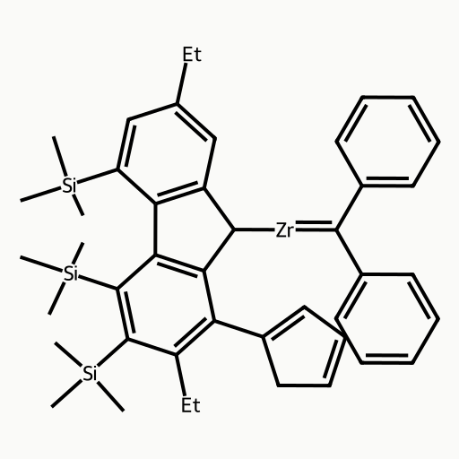 CCc1cc2c(c([Si](C)(C)C)c1)-c1c(c(C3=CC=CC3)c(CC)c([Si](C)(C)C)c1[Si](C)(C)C)[CH]2[Zr]=[C](c1ccccc1)c1ccccc1